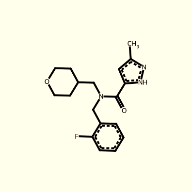 Cc1cc(C(=O)N(Cc2ccccc2F)CC2CCOCC2)[nH]n1